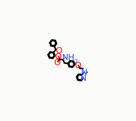 CN(CCOc1ccc(C[C@H](N)C(=O)Oc2ccccc2C(=O)c2ccccc2)cc1)c1ccccn1